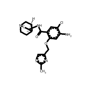 Cc1nc(COc2cc(N)c(Cl)cc2C(=O)N[C@@H]2CN3CCC2CC3)cs1